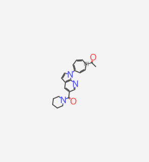 CC(=O)[C@@H]1C=CC=C(n2ccc3cc(C(=O)N4CCCCC4)cnc32)C=C1